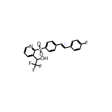 O=S(=O)(c1ccc(/C=C/c2ccc(F)cc2)cc1)c1ncccc1C(O)C(F)(F)F